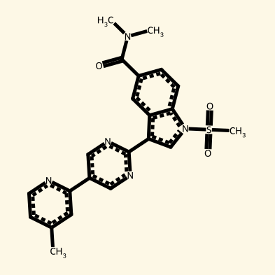 Cc1ccnc(-c2cnc(-c3cn(S(C)(=O)=O)c4ccc(C(=O)N(C)C)cc34)nc2)c1